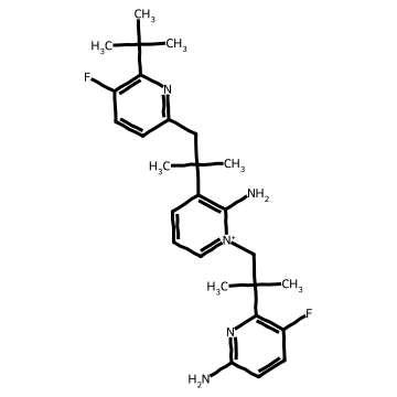 CC(C)(C)c1nc(CC(C)(C)c2ccc[n+](CC(C)(C)c3nc(N)ccc3F)c2N)ccc1F